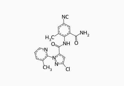 [C-]#[N+]c1cc(C)c(NC(=O)c2cc(Cl)nn2-c2ncccc2C)c(C(N)=O)c1